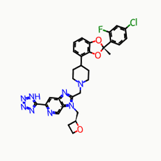 C[C@]1(c2ccc(Cl)cc2F)Oc2cccc(C3CCN(Cc4nc5cc(-c6nnn[nH]6)ncc5n4C[C@@H]4CCO4)CC3)c2O1